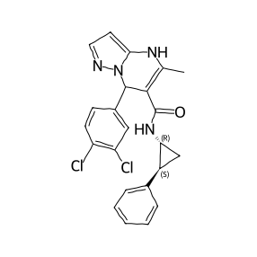 CC1=C(C(=O)N[C@@H]2C[C@H]2c2ccccc2)C(c2ccc(Cl)c(Cl)c2)n2nccc2N1